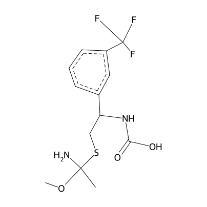 COC(C)(N)SCC(NC(=O)O)c1cccc(C(F)(F)F)c1